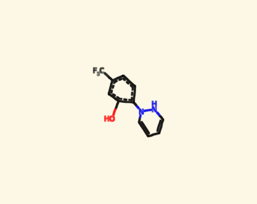 Oc1cc(C(F)(F)F)ccc1N1C=CC=CN1